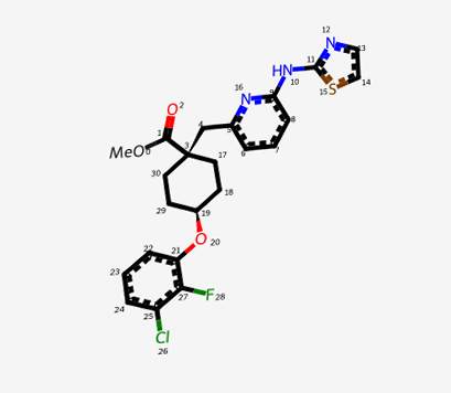 COC(=O)[C@]1(Cc2cccc(Nc3nccs3)n2)CC[C@@H](Oc2cccc(Cl)c2F)CC1